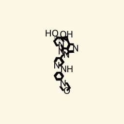 O[C@@H]1CN(c2nc(-c3ccnc(Nc4cccc(N5CCOCC5)c4)c3)nc3cncc(C4CC4)c23)CC[C@@H]1O